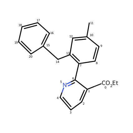 CCOC(=O)c1cccnc1-c1ccc(C)cc1Cc1ccccc1